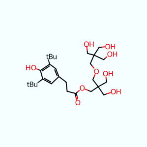 CC(C)(C)c1cc(CCC(=O)OCC(CO)(CO)COCC(CO)(CO)CO)cc(C(C)(C)C)c1O